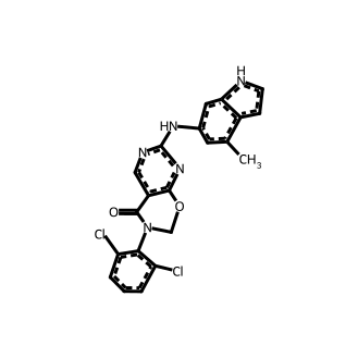 Cc1cc(Nc2ncc3c(n2)OCN(c2c(Cl)cccc2Cl)C3=O)cc2[nH]ccc12